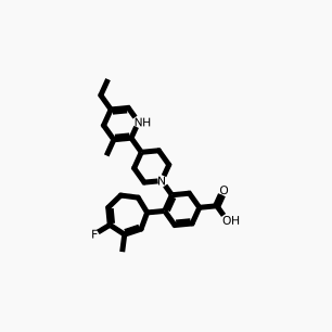 CCC1=CNC(C2CCN(C3=C(C4C=C(C)C(F)=CCC4)C=CC(C(=O)O)C3)CC2)=C(C)C1